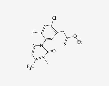 CCOC(=S)Cc1cc(-n2ncc(C(F)(F)F)c(C)c2=O)c(F)cc1Cl